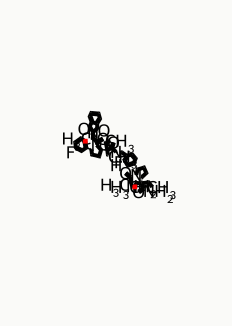 CCC(CC)(C(N)=O)[C@H]1CC[C@@H](c2ccc(CNC(=O)C(CC)(CC)[C@H]3CC[C@@H](c4cccc(F)c4)N3C(=O)[C@@H](C)N3C(=O)c4ccccc4C3=O)c(F)c2)N1C(=O)[C@@H](C)N